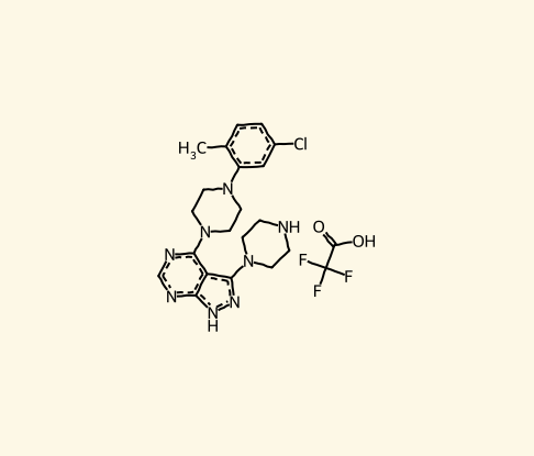 Cc1ccc(Cl)cc1N1CCN(c2ncnc3[nH]nc(N4CCNCC4)c23)CC1.O=C(O)C(F)(F)F